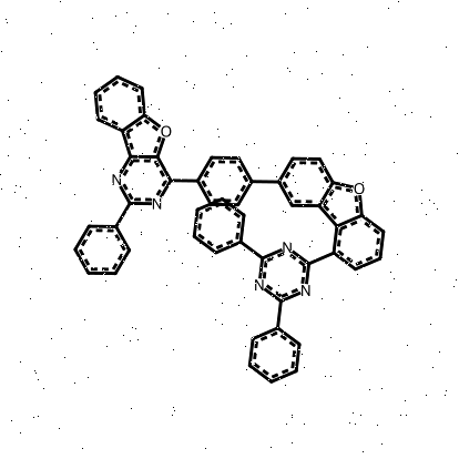 c1ccc(-c2nc(-c3ccccc3)nc(-c3cccc4oc5ccc(-c6ccc(-c7nc(-c8ccccc8)nc8c7oc7ccccc78)cc6)cc5c34)n2)cc1